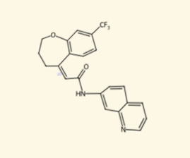 O=C(/C=C1/CCCOc2cc(C(F)(F)F)ccc21)Nc1ccc2cccnc2c1